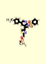 CCOOCc1nc(-c2cn(S(=O)(=O)c3ccccc3)c3ncc(C4=CCC(C)CC4)cc23)cs1